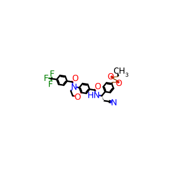 CCS(=O)(=O)c1ccc([C@H](CC#N)NC(=O)c2ccc3c(c2)OCCN3C(=O)c2ccc(C(F)(F)F)cc2)cc1